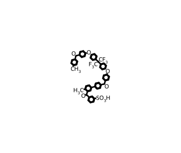 Cc1ccc(C(=O)c2ccc(Oc3ccc(C(c4ccc(Oc5ccc(C(=O)c6ccc(-c7ccc(C)c(C(=O)c8cccc(S(=O)(=O)O)c8)c7)cc6)cc5)cc4)(C(F)(F)F)C(F)(F)F)cc3)cc2)cc1